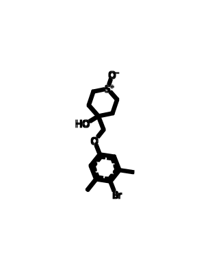 Cc1cc(OCC2(O)CC[S+]([O-])CC2)cc(C)c1Br